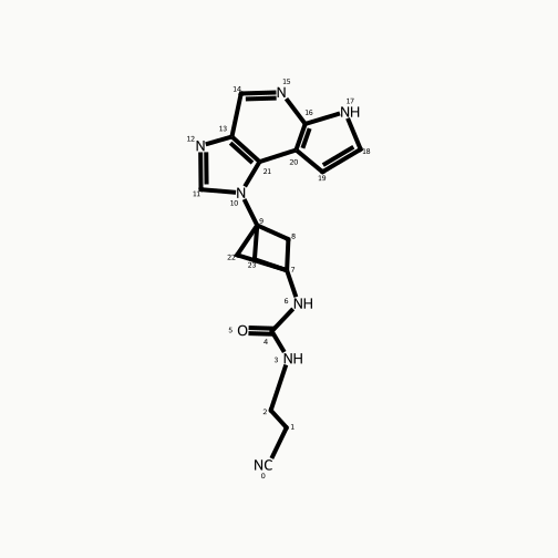 N#CCCNC(=O)NC12CC(n3cnc4cnc5[nH]ccc5c43)(C1)C2